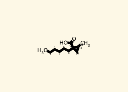 CCCCCCC1(C(=O)O)CC1C